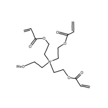 C=CC(=O)OCC[N+](CCOC)(CCOC(=O)C=C)CCOC(=O)C=C